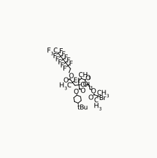 CCC(C)(CC(C)(CC(C)C(=O)OCCOC(=O)C(C)(C)Br)C(=O)OC1CCC(C(C)(C)C)CC1)C(=O)OCCC(F)(F)C(F)(F)C(F)(F)C(F)(F)C(F)(F)C(F)(F)F